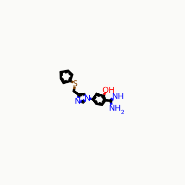 N=C(N)c1ccc(-n2cnc(CSc3ccccc3)c2)cc1O